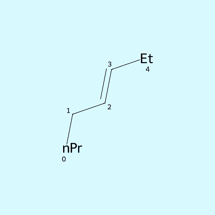 [CH]CCCC=CC[CH2]